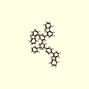 c1ccc(-c2nc(-c3ccc(-c4cccc5c4sc4ccccc45)cc3)cc(-c3cc(-c4cccc5c4sc4ccccc45)cc(-c4cccc5sc6ccccc6c45)c3)n2)cc1